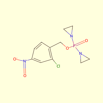 O=[N+]([O-])c1ccc(COP(=O)(N2CC2)N2CC2)c(Cl)c1